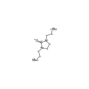 CC(C)(C)CCN1CCN(CCC(C)(C)C)C1=O